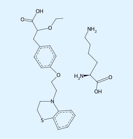 CCOC(Cc1ccc(OCCN2CCSc3ccccc32)cc1)C(=O)O.NCCCC[C@H](N)C(=O)O